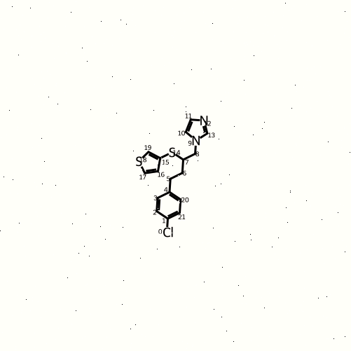 Clc1ccc(CCC(Cn2ccnc2)Sc2ccsc2)cc1